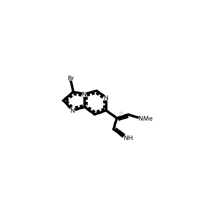 CN/C=C(\C=N)c1cc2ncc(Br)n2cn1